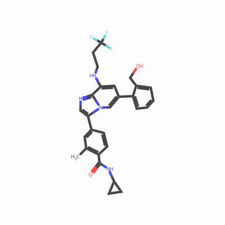 Cc1cc(-c2cnc3c(NCCC(F)(F)F)cc(-c4ccccc4CO)cn23)ccc1C(=O)NC1CC1